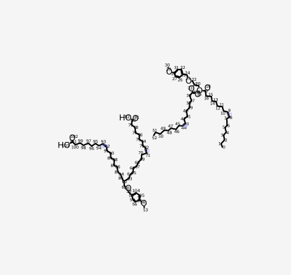 CCCCCCCC/C=C\CCCCCCCC(=O)OCC(COCc1ccc(OC)cc1)OC(=O)CCCCCCC/C=C\CCCCCCCC.COc1ccc(COCC(CCCCCCCC/C=C\CCCCCCCC(=O)O)CCCCCCCCC/C=C\CCCCCCCC(=O)O)cc1